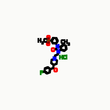 Cc1cccc2c1n(-c1cccc(S(C)(=O)=O)c1)c(=O)n2CCN1CCC(C(=O)c2ccc(F)cc2)CC1.Cl